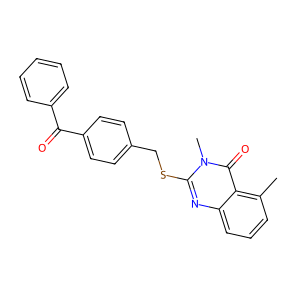 Cc1cccc2nc(SCc3ccc(C(=O)c4ccccc4)cc3)n(C)c(=O)c12